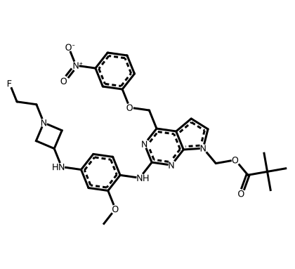 COc1cc(NC2CN(CCF)C2)ccc1Nc1nc(COc2cccc([N+](=O)[O-])c2)c2ccn(COC(=O)C(C)(C)C)c2n1